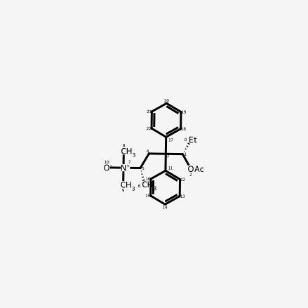 CC[C@H](OC(C)=O)C(C[C@H](C)[N+](C)(C)[O-])(c1ccccc1)c1ccccc1